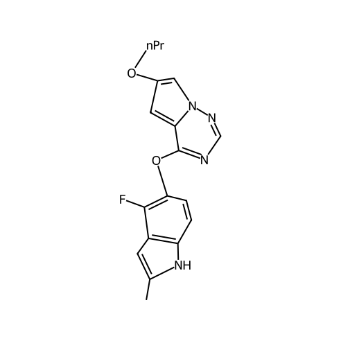 CCCOc1cc2c(Oc3ccc4[nH]c(C)cc4c3F)ncnn2c1